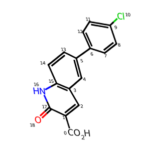 O=C(O)c1cc2cc(-c3ccc(Cl)cc3)ccc2[nH]c1=O